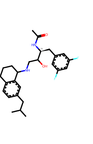 CC(=O)N[C@@H](Cc1cc(F)cc(F)c1)C(O)CNC1CCCc2ccc(CC(C)C)cc21